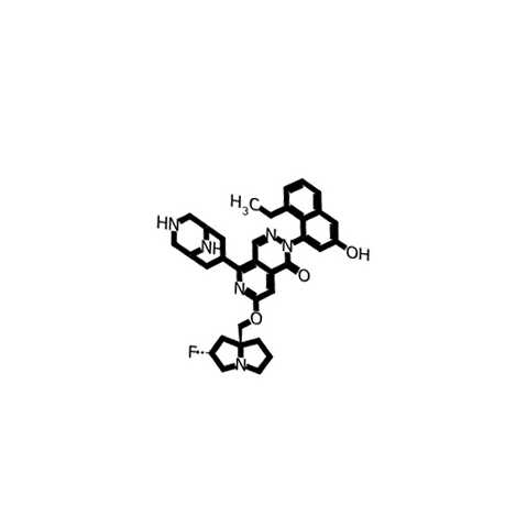 CCc1cccc2cc(O)cc(-n3ncc4c(C5CC6CNCC(C5)N6)nc(OC[C@@]56CCCN5C[C@H](F)C6)cc4c3=O)c12